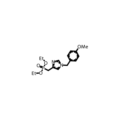 CCOP(=O)(Cc1cn(Cc2ccc(OC)cc2)cn1)OCC